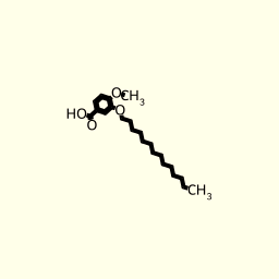 CCCCCCCCCCCCCCOc1cc(C(=O)O)ccc1OC